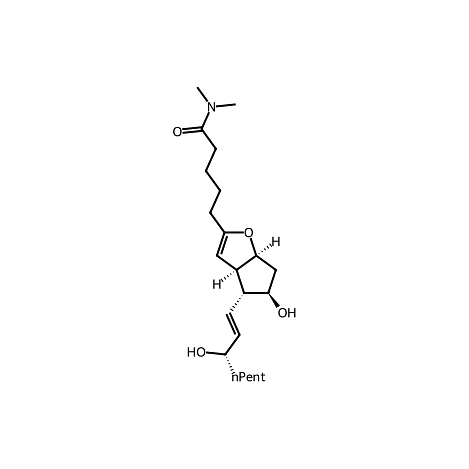 CCCCC[C@H](O)/C=C/[C@@H]1[C@H]2C=C(CCCCC(=O)N(C)C)O[C@H]2C[C@H]1O